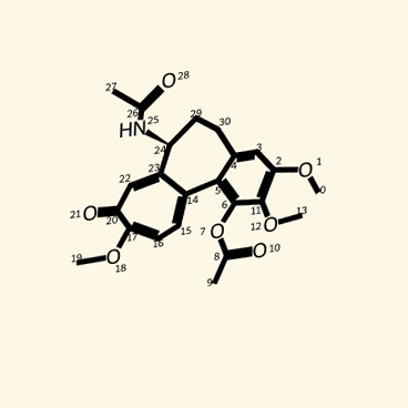 COc1cc2c(c(OC(C)=O)c1OC)-c1ccc(OC)c(=O)cc1[C@@H](NC(C)=O)CC2